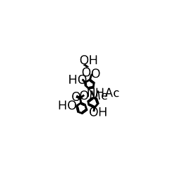 CC(=O)Nc1ccc(O)cc1.COC(=O)c1ccccc1O.O=C(OCCO)c1ccccc1O